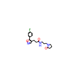 O=C(CCc1cnoc1-c1ccc(F)cc1)NCCCN1CCCC1=O